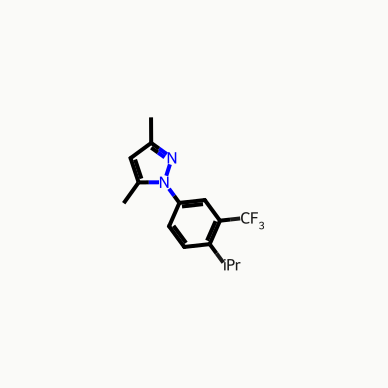 Cc1cc(C)n(-c2ccc(C(C)C)c(C(F)(F)F)c2)n1